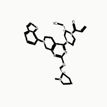 C=CC(=O)N1CCN(c2nc(OC[C@@H]3CCCN3C)nc3c2CCN(c2cccc4ccsc24)C3)C[C@@H]1CC#N